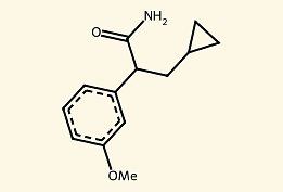 COc1cccc(C(CC2CC2)C(N)=O)c1